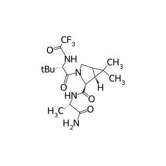 C[C@H](NC(=O)[C@@H]1[C@@H]2C(CN1C(=O)[C@@H](NC(=O)C(F)(F)F)C(C)(C)C)C2(C)C)C(N)=O